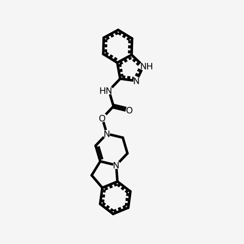 O=C(Nc1n[nH]c2ccccc12)ON1C=C2Cc3ccccc3N2CC1